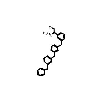 COC(CCl)c1cccc(Cc2cccc(Cc3cccc(Cc4ccccc4)c3)c2)c1